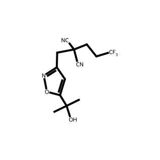 CC(C)(O)c1cc(CC(C#N)(C#N)CCC(F)(F)F)no1